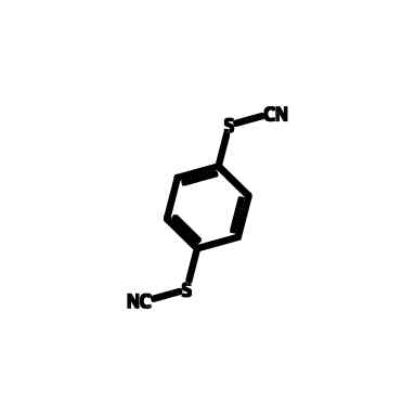 N#CSc1ccc(SC#N)cc1